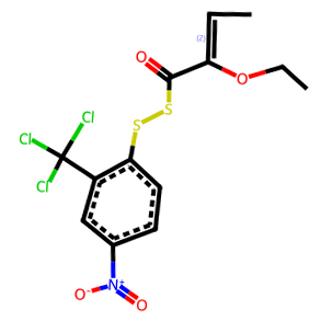 C/C=C(\OCC)C(=O)SSc1ccc([N+](=O)[O-])cc1C(Cl)(Cl)Cl